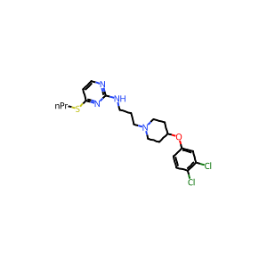 CCCSc1ccnc(NCCCN2CCC(Oc3ccc(Cl)c(Cl)c3)CC2)n1